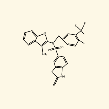 Cc1c(N(Cc2ccc(F)c(C(F)(F)F)c2)S(=O)(=O)c2ccc3[nH]c(=O)oc3c2)sc2ccccc12